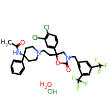 CC(=O)NC1(c2ccccc2)CCN(CCC2(c3ccc(Cl)c(Cl)c3)CN(Cc3cc(C(F)(F)F)cc(C(F)(F)F)c3)C(=O)O2)CC1.Cl.O